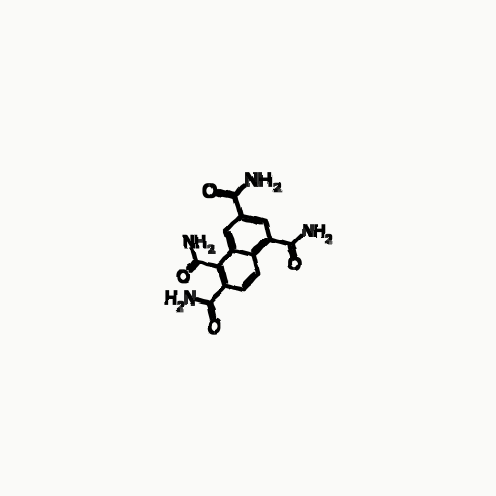 NC(=O)c1cc(C(N)=O)c2ccc(C(N)=O)c(C(N)=O)c2c1